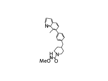 CONC(=O)N1CCC(Cc2ccc(-c3ccc4cccnc4c3C)cc2)CC1